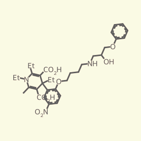 CCC1=C(C(=O)O)C(CC)(c2cc([N+](=O)[O-])ccc2OCCCCNCC(O)COc2ccccc2)C(C(=O)O)=C(C)N1CC